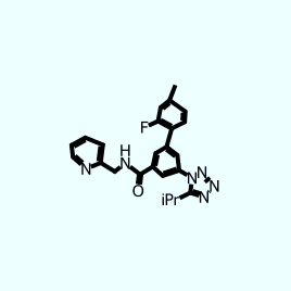 Cc1ccc(-c2cc(C(=O)NCc3ccccn3)cc(-n3nnnc3C(C)C)c2)c(F)c1